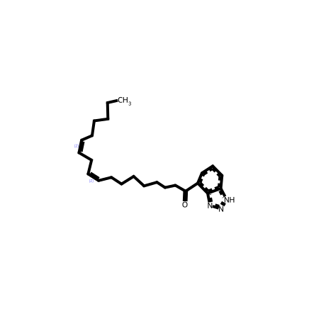 CCCCC/C=C\C/C=C\CCCCCCCC(=O)c1cccc2[nH]nnc12